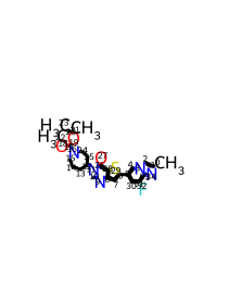 Cc1cn2cc(-c3cc4ncn(C5CCCN(C(=O)OC(C)(C)C)CC5)c(=O)c4s3)cc(F)c2n1